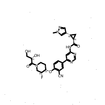 Cn1cc([C@@H]2C[C@H]2C(=O)Nc2cc(-c3ccc(O[C@H]4CCN(C(=O)[C@@H](O)CO)C[C@H]4F)c(C#N)c3)ncn2)cn1